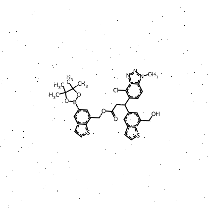 Cn1nnc2c(Cl)c(C(CC(=O)OCc3cc(B4OC(C)(C)C(C)(C)O4)cc4ccsc34)c3cc(CO)c4sccc4c3)ccc21